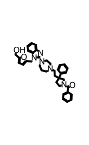 O=C(c1ccccc1)N1CCC(CCN2CCCN(c3nc4ccccc4n3Cc3ccc(CO)o3)CC2)(c2ccccc2)C1